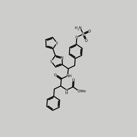 COC(=O)NC(Cc1ccccc1)C(=O)NC(Cc1ccc(OS(N)(=O)=O)cc1)c1csc(-c2cccs2)n1